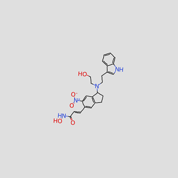 O=C(/C=C/c1cc2c(cc1[N+](=O)[O-])C(N(CCO)CCc1c[nH]c3ccccc13)CC2)NO